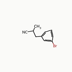 CC(C#N)Cc1cccc(Br)c1